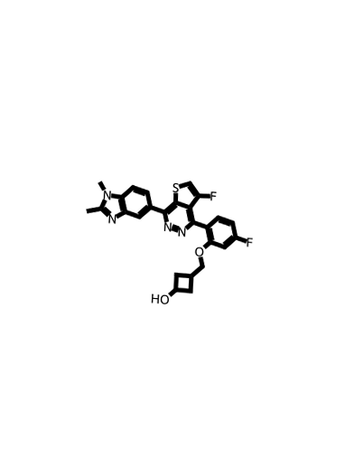 Cc1nc2cc(-c3nnc(-c4ccc(F)cc4OCC4CC(O)C4)c4c(F)csc34)ccc2n1C